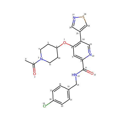 CC(=O)N1CCC(Oc2cc(C(=O)NCc3ccc(Cl)cc3)ncc2-c2cnsc2)CC1